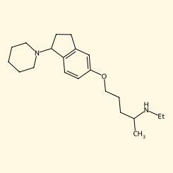 CCNC(C)CCCOc1ccc2c(c1)CCC2N1CCCCC1